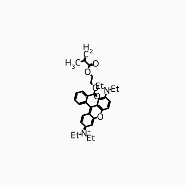 C=C(C)C(=O)OCCOC(=O)c1ccccc1-c1c2ccc(=[N+](CC)CC)cc-2oc2ccc(N(CC)CC)cc12